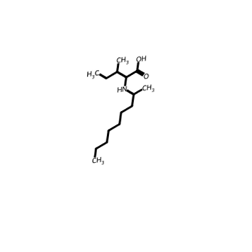 CCCCCCCC(C)NC(C(=O)O)C(C)CC